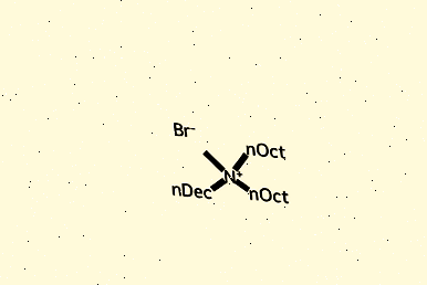 CCCCCCCCCC[N+](C)(CCCCCCCC)CCCCCCCC.[Br-]